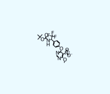 COc1ncnc(Oc2ccc([C@@H](NC(=O)OC(C)(C)C)C(F)(F)F)cc2)c1[N+](=O)[O-]